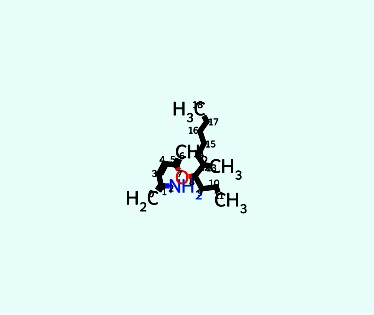 C=C(N)/C=C\C(=C)OC(CCC)C(C)CCCCC